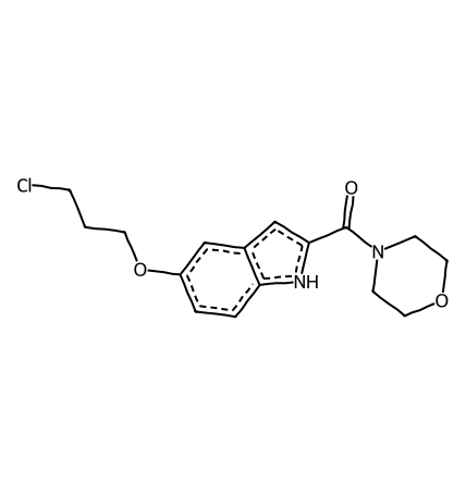 O=C(c1cc2cc(OCCCCl)ccc2[nH]1)N1CCOCC1